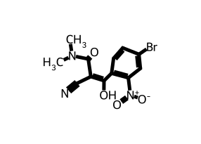 CN(C)C(=O)C(C#N)=C(O)c1ccc(Br)cc1[N+](=O)[O-]